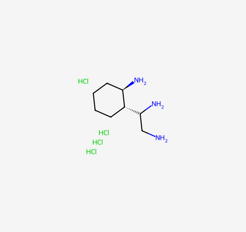 Cl.Cl.Cl.Cl.NCC(N)[C@@H]1CCCC[C@H]1N